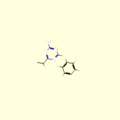 CC(F)c1nc(N)nc(Oc2c(F)c(F)cc(F)c2F)n1